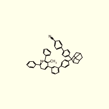 CC1=C(c2ccccc2)N=C(c2ccccc2)CC=C1c1cccc(-c2ccc(C3(c4ccc(-c5ccc(C#N)cc5)cc4)C4CC5CC(C4)CC3C5)cc2)c1